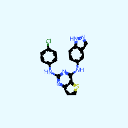 Clc1ccc(Nc2nc(Nc3ccc4[nH]ncc4c3)c3sccc3n2)cc1